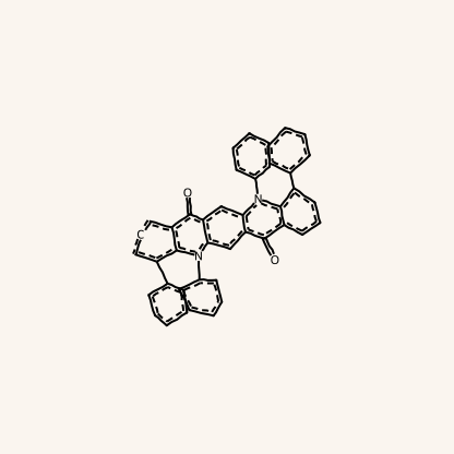 O=c1c2cc3c(cc2n(-c2ccccc2)c2c(-c4ccccc4)cccc12)c(=O)c1cccc(-c2ccccc2)c1n3-c1ccccc1